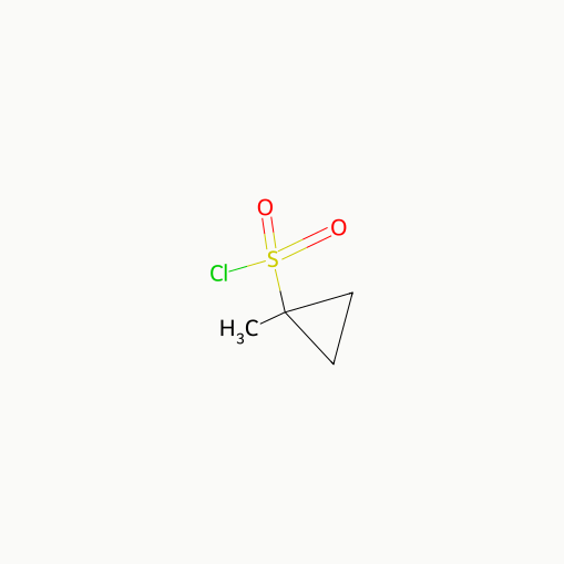 CC1(S(=O)(=O)Cl)CC1